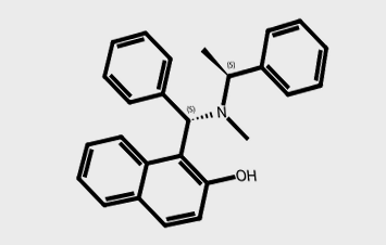 C[C@@H](c1ccccc1)N(C)[C@@H](c1ccccc1)c1c(O)ccc2ccccc12